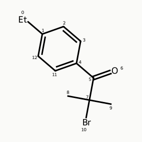 CCc1ccc(C(=O)C(C)(C)Br)cc1